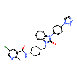 Cc1ncc(Cl)cc1C(=O)N[C@H]1CC[C@H](Cn2c(=O)n(-c3ccc(-n4ccnn4)cc3)c3ccccc32)CC1